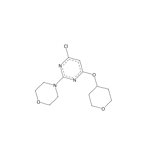 Clc1cc(OC2CCOCC2)nc(N2CCOCC2)n1